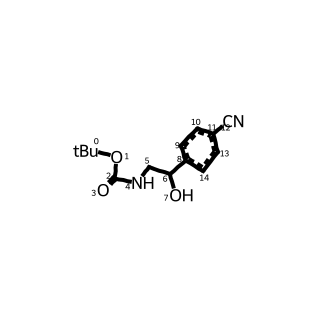 CC(C)(C)OC(=O)NCC(O)c1ccc(C#N)cc1